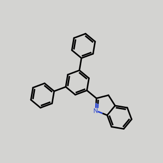 c1ccc(-c2cc(C3=Nc4ccccc4C3)cc(-c3ccccc3)c2)cc1